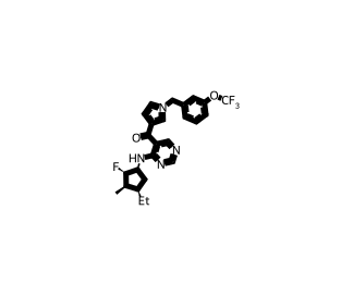 CC[C@H]1C[C@@H](Nc2ncncc2C(=O)c2ccn(Cc3cccc(OC(F)(F)F)c3)c2)[C@@H](F)[C@@H]1C